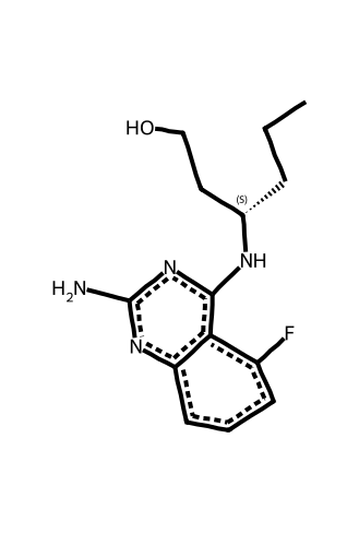 CCC[C@@H](CCO)Nc1nc(N)nc2cccc(F)c12